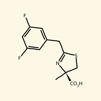 C[C@@]1(C(=O)O)CSC(Cc2cc(F)cc(F)c2)=N1